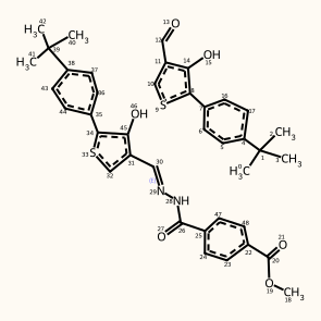 CC(C)(C)c1ccc(-c2scc(C=O)c2O)cc1.COC(=O)c1ccc(C(=O)N/N=C/c2csc(-c3ccc(C(C)(C)C)cc3)c2O)cc1